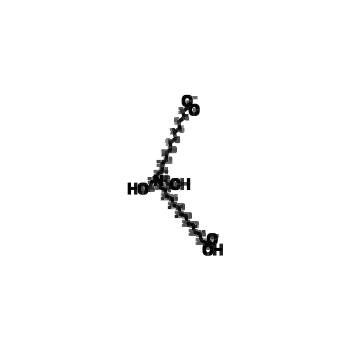 O=C([O-])CCCCCCCCCCCCC[N+](CCO)(CCO)CCCCCCCCCCCCCC(=O)O